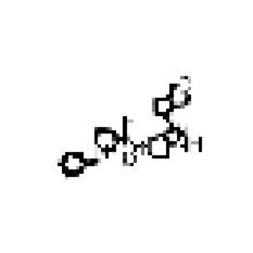 O=C(N[C@@H]1CCCN(Cc2ccccc2)C1)N1CCc2[nH]nc(C3=C4C=COC=C4CC3)c2C1